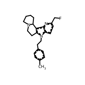 Cc1ccc(CCn2c3c(c4nc(CF)ccc42)C2CCCCN2CC3)cc1